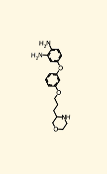 Nc1ccc(Oc2cccc(OCCCC3COCCN3)c2)cc1N